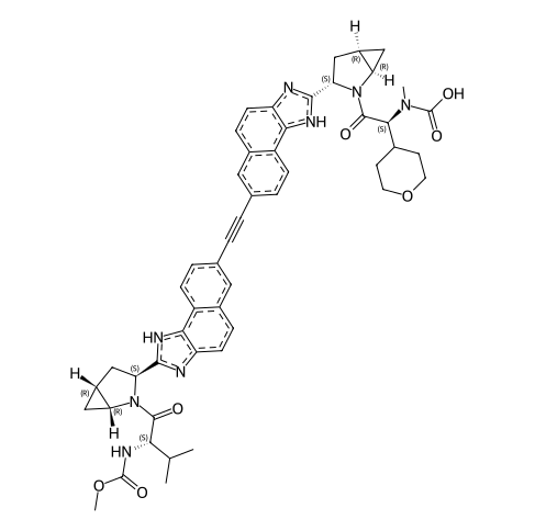 COC(=O)N[C@H](C(=O)N1[C@@H]2C[C@@H]2C[C@H]1c1nc2ccc3cc(C#Cc4ccc5c(ccc6nc([C@@H]7C[C@H]8C[C@H]8N7C(=O)[C@H](C7CCOCC7)N(C)C(=O)O)[nH]c65)c4)ccc3c2[nH]1)C(C)C